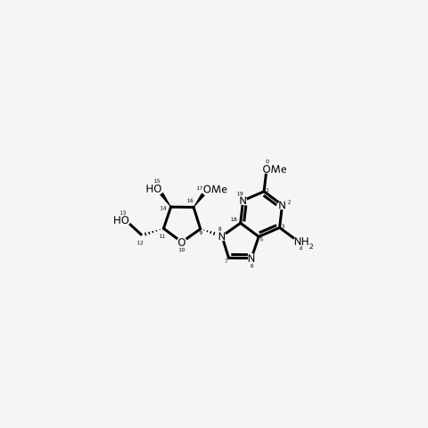 COc1nc(N)c2ncn([C@@H]3O[C@H](CO)[C@@H](O)[C@H]3OC)c2n1